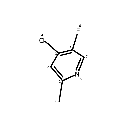 Cc1cc(Cl)c(F)cn1